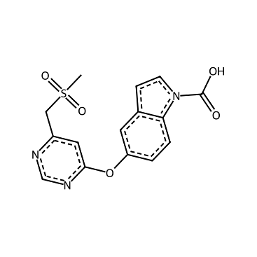 CS(=O)(=O)Cc1cc(Oc2ccc3c(ccn3C(=O)O)c2)ncn1